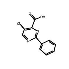 O=C(O)c1nc(-c2ccccc2)ncc1Cl